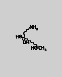 CCC(O)CCCCCCCC1C(C/C=C\CCCCN)[C@H](O)C[C@@H]1O